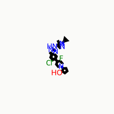 Cc1c(Nc2ncc3cc(Cl)c(C4CCN(C5CCCC5O)CC4F)cc3n2)cnn1C1CC1